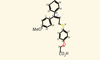 COc1ccc(/C(=C\CSc2ccc(OCC(=O)O)cc2)c2ccccc2)cc1